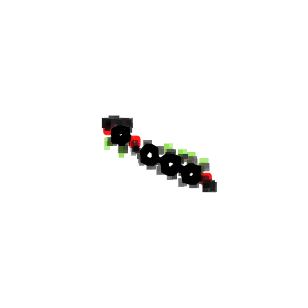 CCCCCCOc1ccc(OC[C@H]2CC[C@H](c3ccc(-c4ccc(OCC)c(F)c4F)c(F)c3F)CC2)c(F)c1F